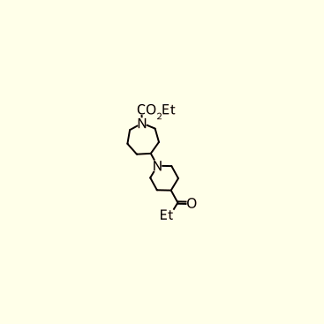 CCOC(=O)N1CCCC(N2CCC(C(=O)CC)CC2)CC1